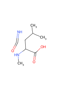 CNC(CC(C)C)C(=O)O.N=C=O